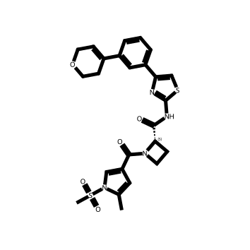 Cc1cc(C(=O)N2CC[C@H]2C(=O)Nc2nc(-c3cccc(C4=CCOCC4)c3)cs2)cn1S(C)(=O)=O